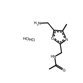 CC(=O)NCc1nc(C)c(CN)o1.Cl.Cl